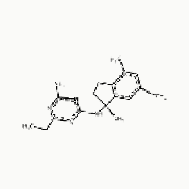 CCc1nc(N)nc(N[C@]2(C)CCc3c(C)cc(C)cc32)n1